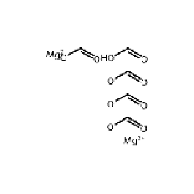 O=CO.O=C[O-].O=C[O-].O=C[O-].O=C[O-].[Mg+2].[Mg+2]